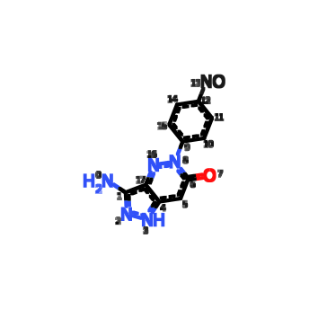 Nc1n[nH]c2cc(=O)n(-c3ccc(N=O)cc3)nc12